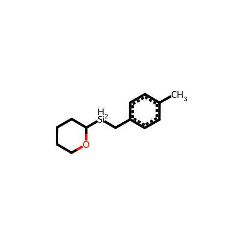 Cc1ccc(C[SiH2]C2CCCCO2)cc1